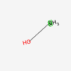 C[Si](Cl)(Cl)CCCCCCCCCCCCCCCCCCCCCCCCCCCCO